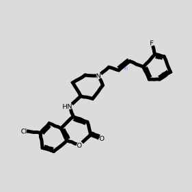 O=c1cc(NC2CCN(C/C=C/c3ccccc3F)CC2)c2cc(Cl)ccc2o1